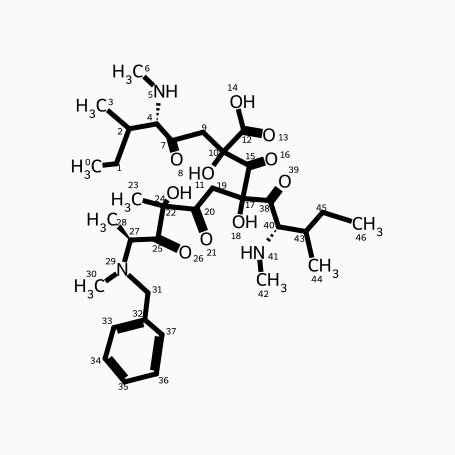 CCC(C)[C@H](NC)C(=O)CC(O)(C(=O)O)C(=O)C(O)(CC(=O)C(C)(O)C(=O)[C@H](C)N(C)Cc1ccccc1)C(=O)[C@@H](NC)C(C)CC